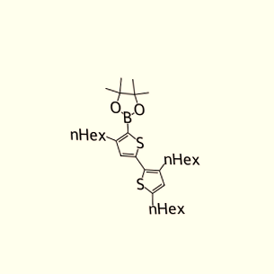 CCCCCCc1cc(CCCCCC)c(-c2cc(CCCCCC)c(B3OC(C)(C)C(C)(C)O3)s2)s1